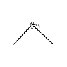 CCCCCCCCC=CCCCCCCCC(=O)C(O)(CN)C(=O)CCCCCCCC=CCCCCCCCC